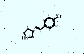 C1CCNC1.C=Cc1ccc(CC)cc1